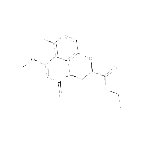 CCOC(=O)C1Cn2c(=O)cc(OC)c3c(C)ccc(c32)O1